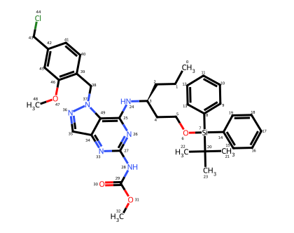 CCC[C@@H](CCO[Si](c1ccccc1)(c1ccccc1)C(C)(C)C)Nc1nc(NC(=O)OC)nc2cnn(Cc3ccc(CCl)cc3OC)c12